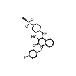 C#CS(=O)(=O)N1CCC(Nc2c(C#N)c(=O)n(Cc3ccc(F)cc3)c3ccccc23)CC1